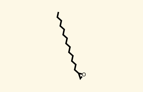 CCCCCCCCCCCCCCC1[CH]O1